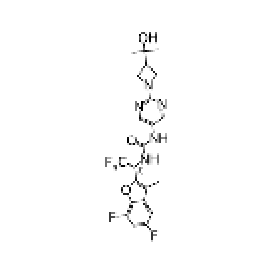 Cc1c([C@H](NC(=O)Nc2cnc(N3CC(C(C)(C)O)C3)nc2)C(F)(F)F)oc2c(F)cc(F)cc12